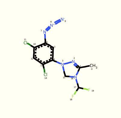 CC1=NN(c2cc(N=[N+]=[N-])c(Cl)cc2Cl)CN1C(F)F